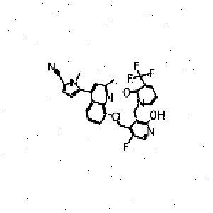 Cc1cc(-c2ccc(C#N)n2C)c2cccc(OCc3c(F)cnc(O)c3Cn3cccc(C(F)(F)F)c3=O)c2n1